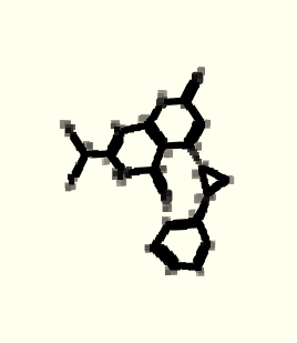 O=c1cc([C@@H]2C[C@H]2c2ccccc2)c2c(=O)[nH]c(C(F)F)nc2o1